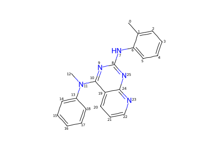 Cc1ccccc1Nc1nc(N(C)c2ccccc2)c2cccnc2n1